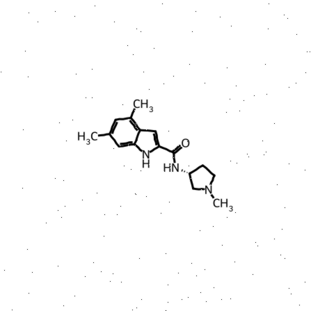 Cc1cc(C)c2cc(C(=O)N[C@@H]3CCN(C)C3)[nH]c2c1